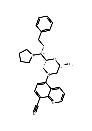 C[C@@H]1CN(c2ccc(C#N)c3ncccc23)C[C@H]([C@@H](CCc2ccccc2)N2CCCC2)O1